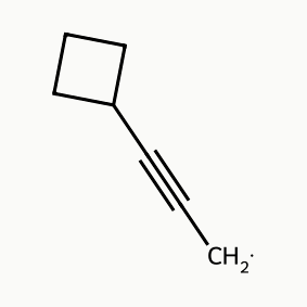 [CH2]C#CC1CCC1